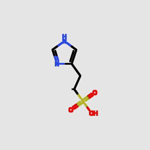 O=S(=O)(O)[CH]Cc1c[nH]cn1